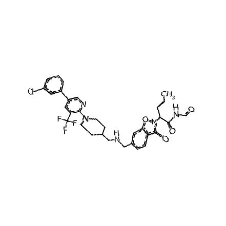 CCCC(C(=O)NC=O)n1oc2cc(CNCC3CCN(c4ncc(-c5cccc(Cl)c5)cc4C(F)(F)F)CC3)ccc2c1=O